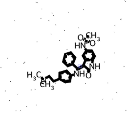 CN(C)CCc1ccc(N/C(=C2\C(=O)Nc3ccc(NS(C)(=O)=O)cc32)c2ccccc2)cc1